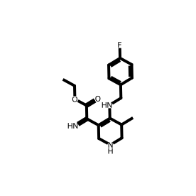 CCOC(=O)C(=N)C1=C(NCc2ccc(F)cc2)C(C)CNC1